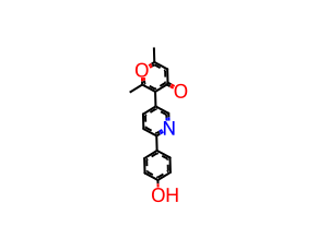 Cc1cc(=O)c(-c2ccc(-c3ccc(O)cc3)nc2)c(C)o1